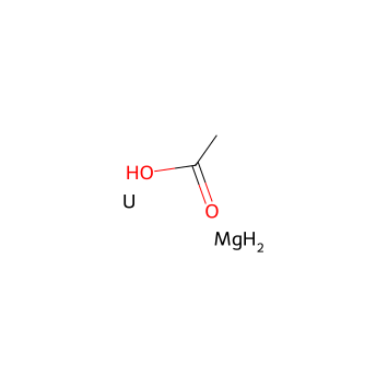 CC(=O)O.[MgH2].[U]